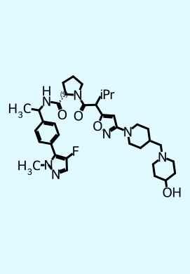 CC(NC(=O)[C@@H]1CCCN1C(=O)C(c1cc(N2CCC(CN3CCC(O)CC3)CC2)no1)C(C)C)c1ccc(-c2c(F)cnn2C)cc1